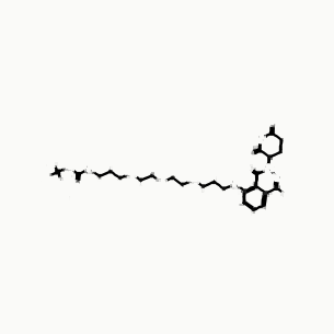 Cc1nn(C2CCC(=O)NC2=O)c(=O)c2c(NCCCOCCOCCOCCCNC(=O)OC(C)(C)C)cccc12